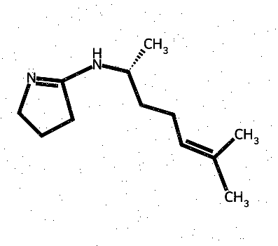 CC(C)=CCC[C@@H](C)NC1=NCCC1